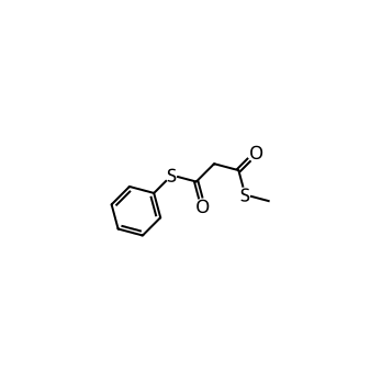 CSC(=O)CC(=O)Sc1ccccc1